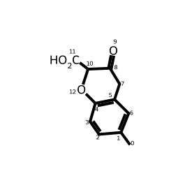 Cc1ccc2c(c1)CC(=O)C(C(=O)O)O2